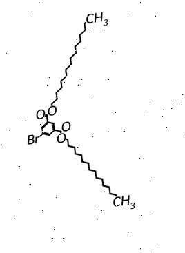 CCCCCCCCCCCCCCCCOC(=O)c1cc(Br)cc(C(=O)OCCCCCCCCCCCCCCCC)c1